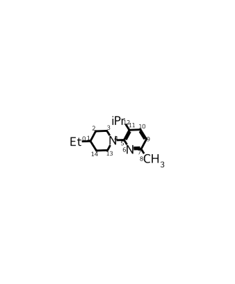 CCC1CCN(c2nc(C)ccc2C(C)C)CC1